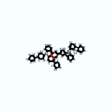 c1ccc(-c2ccc(N(c3ccc(-c4ccccc4)cc3)c3ccccc3-c3cccc(-c4ccc5c(c4)c4ccccc4n5-c4cccc5c4oc4ccccc45)c3)cc2)cc1